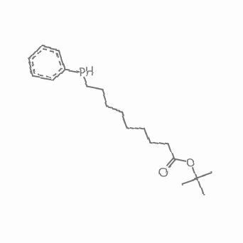 CC(C)(C)OC(=O)CCCCCCCCPc1ccccc1